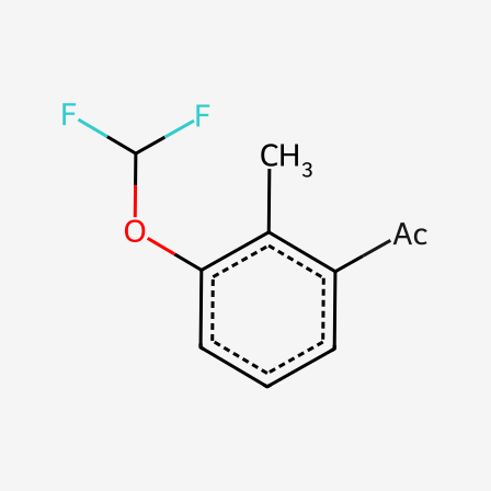 CC(=O)c1cccc(OC(F)F)c1C